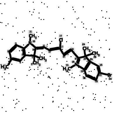 Cc1ccc2c(c1)C(C)(C)\C(=C/C=C(Cl)/C=C/C1=[N+](C)c3ccc(Br)cc3C1(C)C)N2C